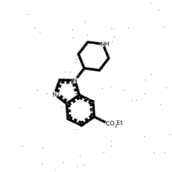 CCOC(=O)c1ccc2ncn(C3CCNCC3)c2c1